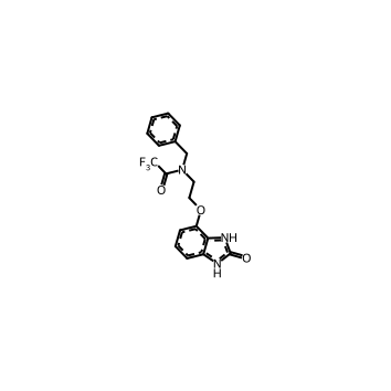 O=C(N(CCOc1cccc2[nH]c(=O)[nH]c12)Cc1ccccc1)C(F)(F)F